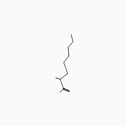 CCCCCCCCCCC(O)C(N)=O